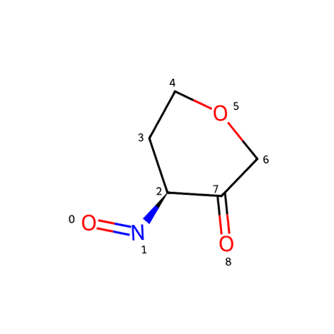 O=N[C@H]1CCOCC1=O